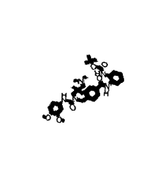 COc1ccc(NC(=O)N(Cc2ccc(C(=O)Nc3ccccc3NC(=O)OC(C)(C)C)cc2)CC(C)(C)CN(C)C)cc1OC